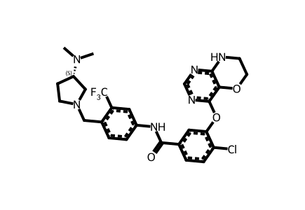 CN(C)[C@H]1CCN(Cc2ccc(NC(=O)c3ccc(Cl)c(Oc4ncnc5c4OCCN5)c3)cc2C(F)(F)F)C1